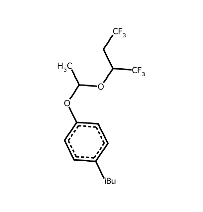 CCC(C)c1ccc(OC(C)OC(CC(F)(F)F)C(F)(F)F)cc1